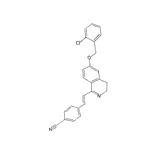 N#Cc1ccc(C=CC2=NCCc3cc(OCc4ccccc4Cl)ccc32)cc1